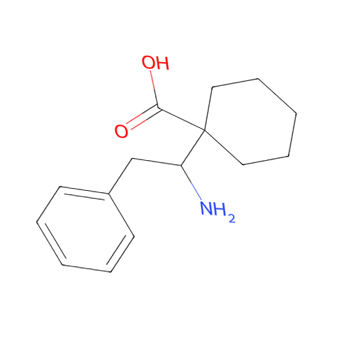 NC(Cc1ccccc1)C1(C(=O)O)CCCCC1